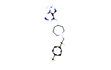 FC(F)(F)c1ccc(C(F)(F)CN2CCC[C@@H](Nc3ncnc4[nH]ncc34)CC2)cc1